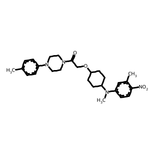 Cc1ccc(N2CCN(C(=O)COC3CCC(N(C)c4ccc([N+](=O)[O-])c(C)c4)CC3)CC2)cc1